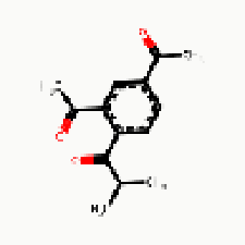 CC(=O)c1ccc(C(=O)C(C)C)c(C(C)=O)c1